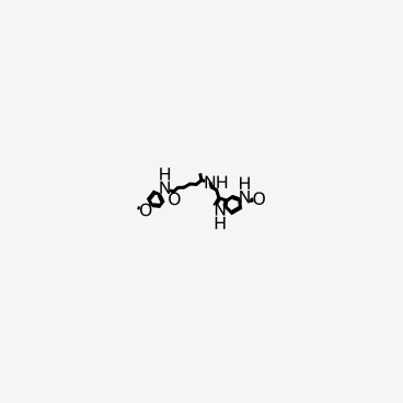 COc1ccc(NC(=O)CCCCC(C)NCCc2c[nH]c3ccc(NC=O)cc23)cc1